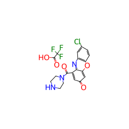 O=C(O)C(F)(F)F.O=C(c1cc(=O)cc2oc3ccc(Cl)cc3nc1-2)N1CCNCC1